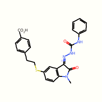 CN1C(=O)/C(=N\NC(=O)Nc2ccccc2)c2cc(SCCc3ccc(C(=O)O)cc3)ccc21